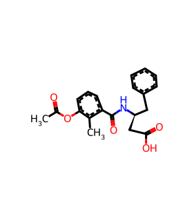 CC(=O)Oc1cccc(C(=O)N[C@H](CC(=O)O)Cc2ccccc2)c1C